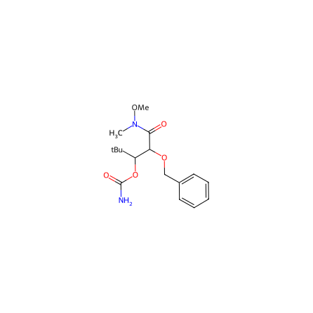 CON(C)C(=O)C(OCc1ccccc1)C(OC(N)=O)C(C)(C)C